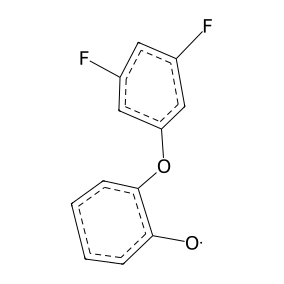 [O]c1ccccc1Oc1cc(F)cc(F)c1